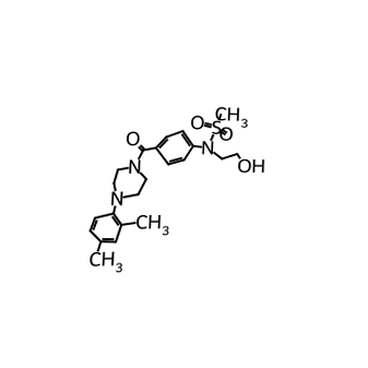 Cc1ccc(N2CCN(C(=O)c3ccc(N(CCO)S(C)(=O)=O)cc3)CC2)c(C)c1